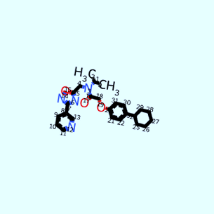 CC(C)N(Cc1nc(-c2cccnc2)no1)C(=O)COc1ccc(C2CCCCC2)cc1